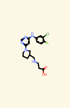 O=C(O)CCNCC1CCCN(c2cc(Nc3ccc(F)c(Cl)c3)ncn2)C1